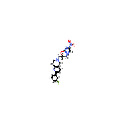 CC1(CN2CCc3nc(-c4cccc(F)c4)ccc3C2)Cn2cc([N+](=O)[O-])nc2O1